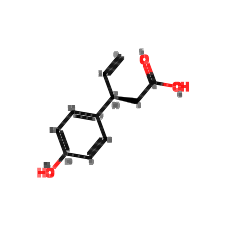 C=C[C@@H](CC(=O)O)c1ccc(O)cc1